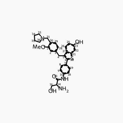 COc1cc(Cc2c(-c3ccc(NC(=O)C(N)CO)cc3)sc3cc(O)ccc23)ccc1CN1CCCC1